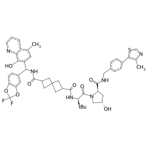 Cc1ncsc1-c1ccc(CNC(=O)[C@H]2C[C@H](O)CN2C(=O)[C@H](NC(=O)C2CC3(CC(C(=O)NC(c4ccc5c(c4)OC(F)(F)O5)c4cc(C)c5cccnc5c4O)C3)C2)C(C)(C)C)cc1